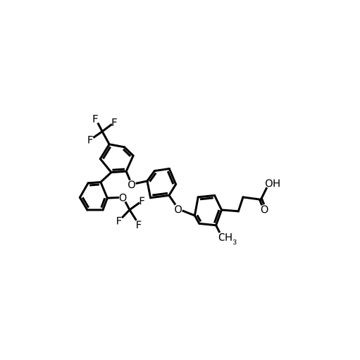 Cc1cc(Oc2cccc(Oc3ccc(C(F)(F)F)cc3-c3ccccc3OC(F)(F)F)c2)ccc1CCC(=O)O